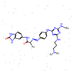 CCCCNc1nc(NCCCN(CC)CC)nc(Nc2ccc(/N=N/C(C(C)=O)C(=O)Nc3ccc4[nH]c(=O)[nH]c4c3)cc2)n1